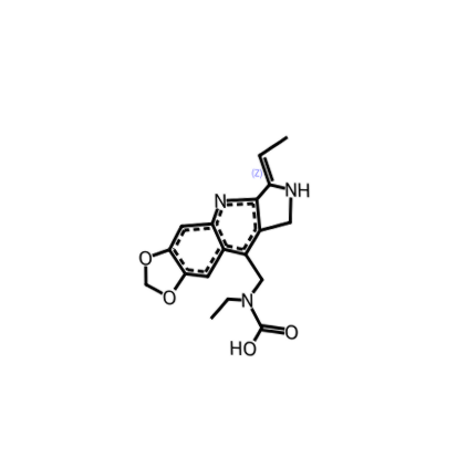 C/C=C1\NCc2c1nc1cc3c(cc1c2CN(CC)C(=O)O)OCO3